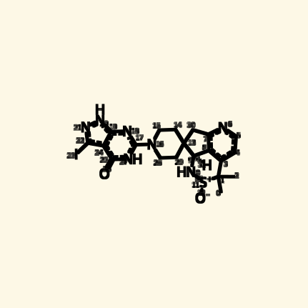 CC1(C)c2ccnc3c2[C@@H](N[S@+]1[O-])C1(CCN(c2nc4[nH]nc(I)c4c(=O)[nH]2)CC1)C3